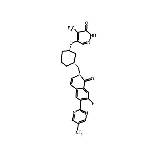 O=c1[nH]ncc(O[C@H]2CCC[C@@H](Cn3ccc4cc(-c5ncc(C(F)(F)F)cn5)c(F)cc4c3=O)C2)c1C(F)(F)F